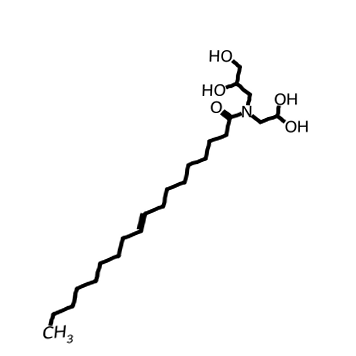 CCCCCCCCC=CCCCCCCCC(=O)N(CC(O)O)CC(O)CO